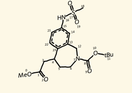 COC(=O)CC1CCN(C(=O)OC(C)(C)C)Cc2cc(NS(C)(=O)=O)ccc21